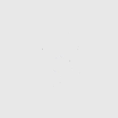 C/C=C\N(/C=N/c1c(C(C)C)cccc1C(C)C)c1c(C(C)C)cccc1C(C)C